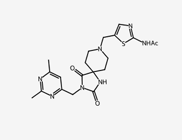 CC(=O)Nc1ncc(CN2CCC3(CC2)NC(=O)N(Cc2cc(C)nc(C)n2)C3=O)s1